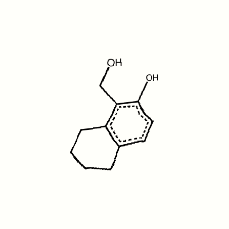 OCc1c(O)ccc2c1CCCC2